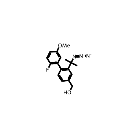 COc1ccc(F)c(-c2ccc(CO)cc2C(C)(C)N=[N+]=[N-])c1